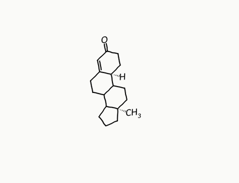 C[C@]12CCCC1C1CCC3=CC(=O)CC[C@H]3C1CC2